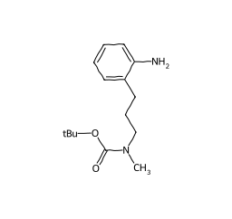 CN(CCCc1ccccc1N)C(=O)OC(C)(C)C